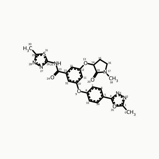 Cc1nnc(-c2ccc(Oc3cc(OC4CCN(C)C4=O)cc(C(=O)Nc4nnc(C)s4)c3)cc2)o1